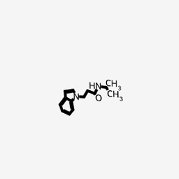 CC(C)NC(=O)CCn1ccc2ccccc21